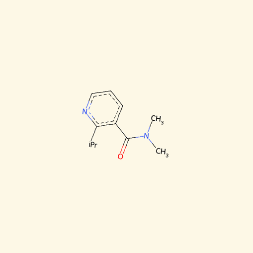 CC(C)c1ncccc1C(=O)N(C)C